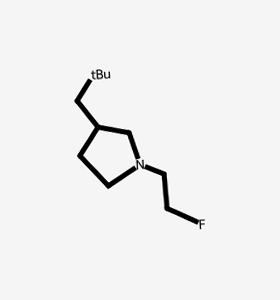 CC(C)(C)CC1CCN(CCF)C1